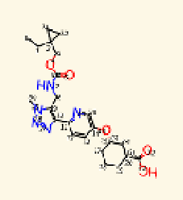 CCC1(COC(=O)NCc2c(-c3ccc(O[C@H]4CCC[C@H](C(=O)O)C4)cn3)nnn2C)CC1